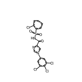 O=C(NS(=O)(=O)c1ccccc1Cl)c1cn(-c2cc(Cl)c(Cl)c(Cl)c2)cn1